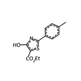 CCOC(=O)c1sc(-c2ccc(C)cc2)nc1O